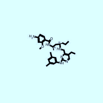 CCC[C@H](C[C@@H](C)NC(=O)c1ccc(N)cc1OC)NCc1nc(Nc2cc(C)cc(C)c2)ncc1CC